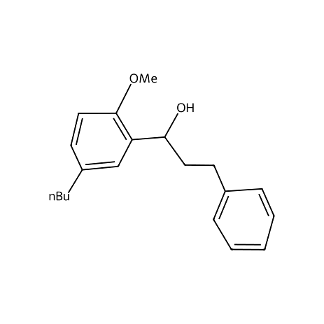 CCCCc1ccc(OC)c(C(O)CCc2ccccc2)c1